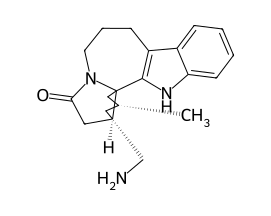 C[C@H]1CC23c4[nH]c5ccccc5c4CCCN2C(=O)C[C@H]3[C@@H]1CN